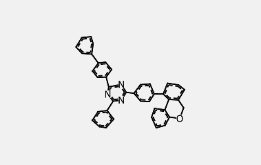 c1ccc(-c2ccc(-c3nc(-c4ccccc4)nc(-c4ccc(-c5cccc6c5-c5ccccc5OC6)cc4)n3)cc2)cc1